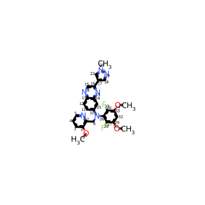 COc1cccnc1CN(c1ccc2ncc(-c3cnn(C)c3)nc2c1)c1c(F)c(OC)cc(OC)c1F